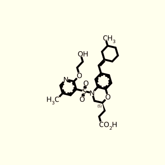 Cc1cnc(OCCO)c(S(=O)(=O)N2C[C@H](CCC(=O)O)Oc3ccc(C=C4CCCC(C)C4)cc32)c1